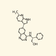 Cc1ccc2c(-c3ccc4ncnc(N[C@H](CO)c5ccccc5)c4c3)c[nH]c2n1